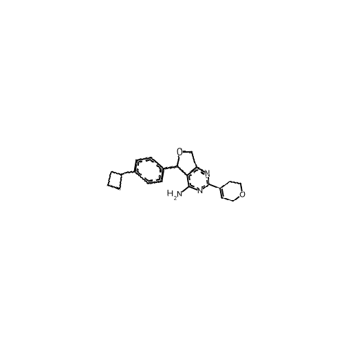 Nc1nc(C2=CCOCC2)nc2c1C(c1ccc(C3CCC3)cc1)OC2